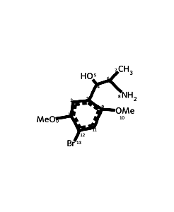 COc1cc(C(O)C(C)N)c(OC)cc1Br